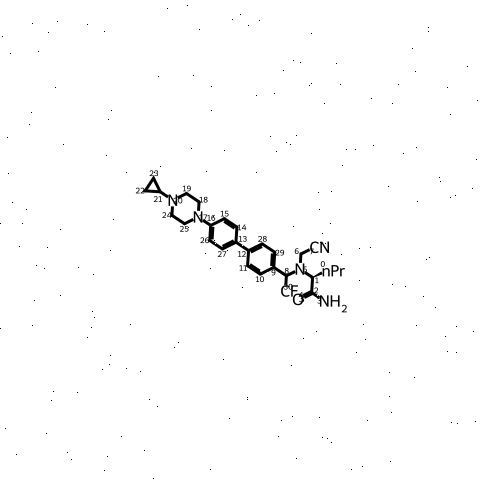 CCC[C@@H](C(N)=O)N(CC#N)C(c1ccc(-c2ccc(N3CCN(C4CC4)CC3)cc2)cc1)C(F)(F)F